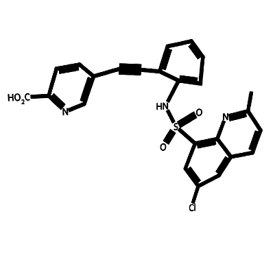 Cc1ccc2cc(Cl)cc(S(=O)(=O)Nc3ccccc3C#Cc3ccc(C(=O)O)nc3)c2n1